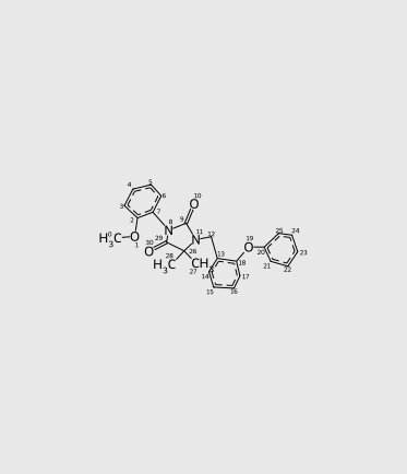 COc1ccccc1N1C(=O)N(Cc2ccccc2Oc2ccccc2)C(C)(C)C1=O